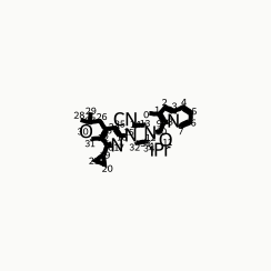 Cc1cc2ccccn2c1C(=O)N1CCN(c2nc(C3CC3)c3c(c2C#N)CC(C)(C)OC3)C[C@H]1C(C)C